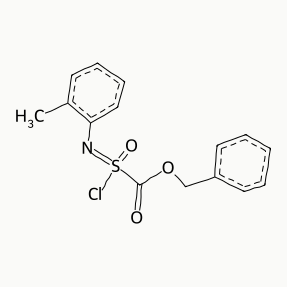 Cc1ccccc1N=S(=O)(Cl)C(=O)OCc1ccccc1